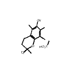 CC(=O)O.Cc1c(C)c2c(c(C)c1O)CCC(C)(Cl)O2